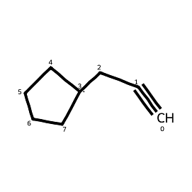 C#CC[C]1CCCC1